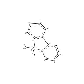 CC[N+]1(CC)c2ccccc2-c2ccccc21